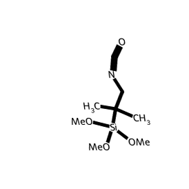 CO[Si](OC)(OC)C(C)(C)CN=C=O